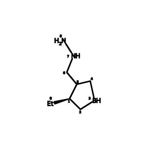 CC[C@@H]1CBCC1CNN